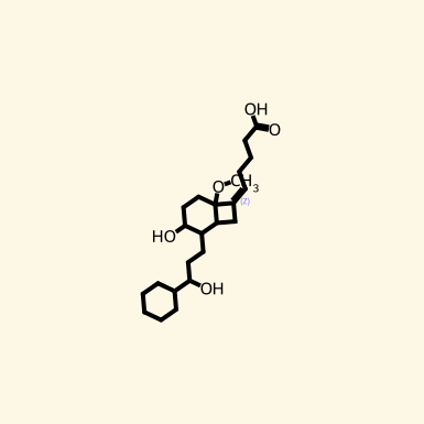 COC12CCC(O)C(CCC(O)C3CCCCC3)C1C/C2=C/CCCC(=O)O